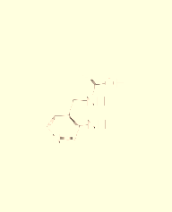 Nc1cnccc1CNC(=O)O